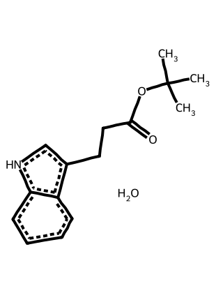 CC(C)(C)OC(=O)CCc1c[nH]c2ccccc12.O